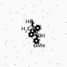 C=C1c2ccccc2C(OC[C@H](O)c2ccc(OC)cc2)(c2ccccc2)N1CCCO